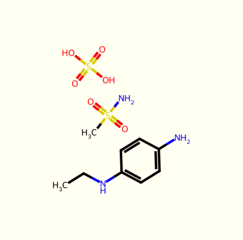 CCNc1ccc(N)cc1.CS(N)(=O)=O.O=S(=O)(O)O